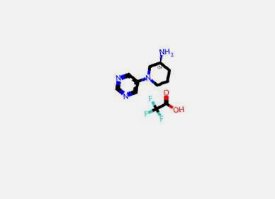 N[C@H]1CCCN(c2cncnc2)C1.O=C(O)C(F)(F)F